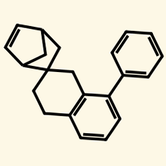 C1=CC2CC1CC21CCc2cccc(-c3ccccc3)c2C1